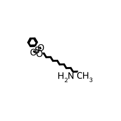 CCC(N)CCCCCCCCCOS(=O)(=O)c1ccccc1